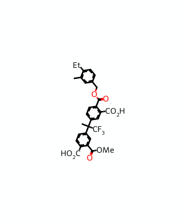 CCc1ccc(COC(=O)c2ccc(C(C)(c3ccc(C(=O)O)c(C(=O)OC)c3)C(F)(F)F)cc2C(=O)O)cc1C